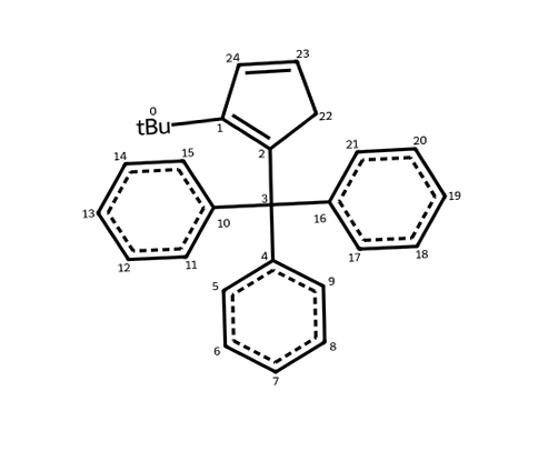 CC(C)(C)C1=C(C(c2ccccc2)(c2ccccc2)c2ccccc2)CC=C1